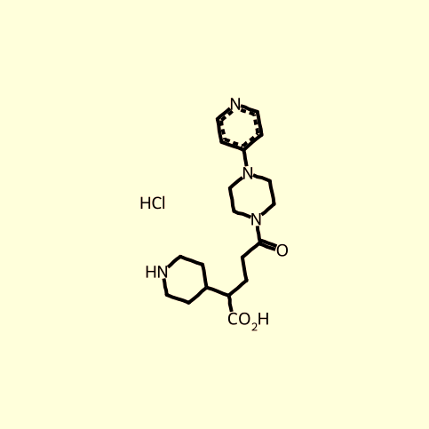 Cl.O=C(O)C(CCC(=O)N1CCN(c2ccncc2)CC1)C1CCNCC1